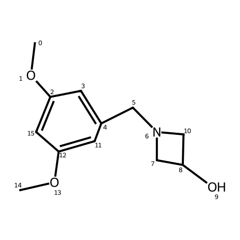 COc1cc(CN2CC(O)C2)cc(OC)c1